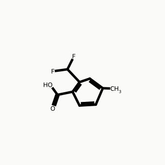 Cc1ccc(C(=O)O)c(C(F)F)c1